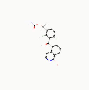 CCOc1nccc2c(C(=O)c3c(F)ccc(C(C)(C)OC(N)=O)c3F)cccc12